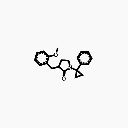 COc1ccccc1CC1CCN(C2(c3ccccc3)CC2)C1=O